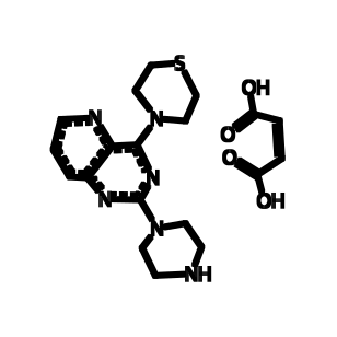 O=C(O)/C=C\C(=O)O.c1cnc2c(N3CCSCC3)nc(N3CCNCC3)nc2c1